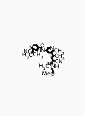 C=N/C(NCCOC)=C(C#N)\C=C(/C)c1cc(NC(=O)c2ccnc(C(C)(C)C#N)c2)cnc1C